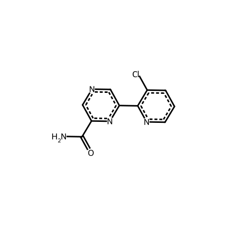 NC(=O)c1cncc(-c2ncccc2Cl)n1